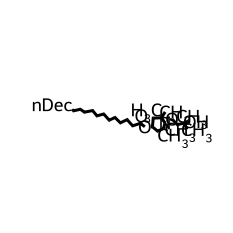 CCCCCCCCCCCCCCCCCCCCCC(=O)OC1CC(C)(C)N(OCC(C)(C)O)C(C)(C)C1